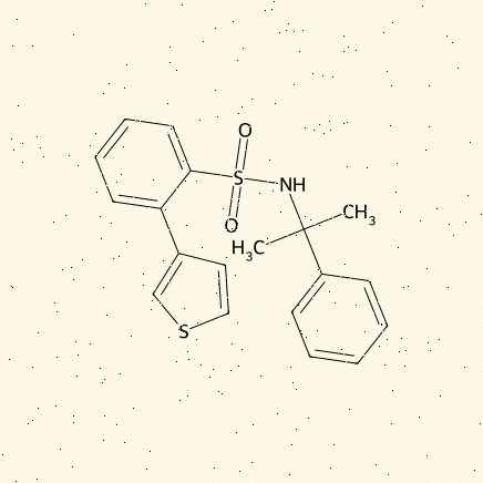 CC(C)(NS(=O)(=O)c1ccccc1-c1ccsc1)c1ccccc1